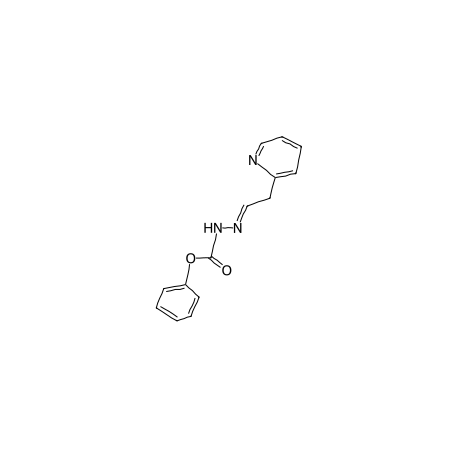 O=C(NN=CCc1ccccn1)Oc1ccccc1